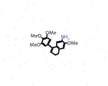 COc1cc2c(cc1N)C(c1cc(OC)c(OC)c(OC)c1)=CCC2